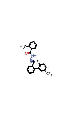 Cc1ccccc1C(=O)N/N=C/c1ccccc1-c1cc(C(F)(F)F)ccc1S(=O)(=O)O